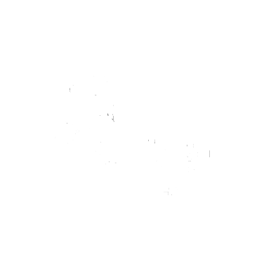 CS(=O)(=O)c1cc(OCCCN(Cc2cccc(C(F)(F)F)c2)CC(c2ccccc2)c2ccccc2)ccc1CO